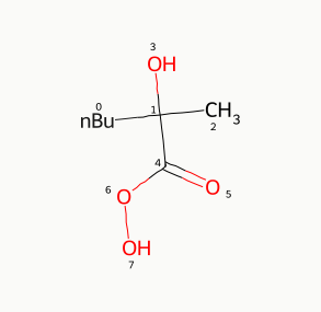 CCCCC(C)(O)C(=O)OO